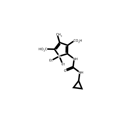 CCS1(CC)C(NC(=O)NC2CC2)=C(C(=O)O)C(C)=C1C(=O)O